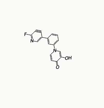 O=c1ccn(-c2cccc(-c3c#cc(F)nc3)c2)cc1O